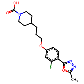 Cc1nnc(-c2ccc(OCCCC3CCN(C(=O)O)CC3)cc2F)o1